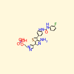 Nc1ncc(-c2cnn(CCOP(=O)(O)O)c2)c2scc(-c3ccc(NC(=O)Nc4cccc(F)c4)cc3)c12